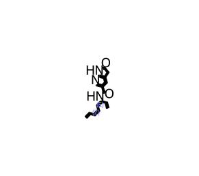 C=C/C=C\C=C(/C=C)NC(=O)c1cnc2c(c1)CC(=O)N2